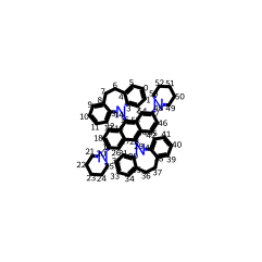 c1ccc2c(c1)CCc1ccccc1N2c1c2ccc(N3CCCCC3)cc2c(N2c3ccccc3CCc3ccccc32)c2ccc(N3CCCCC3)cc12